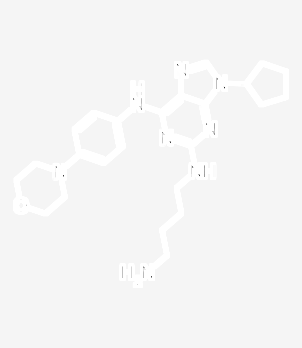 NCCCCNc1nc(Nc2ccc(N3CCOCC3)cc2)c2ncn(C3CCCC3)c2n1